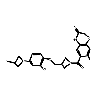 O=C1COc2cc(F)c(C(=O)N3CC(COc4ccc(N5CC(F)C5)cc4Cl)C3)cc2N1